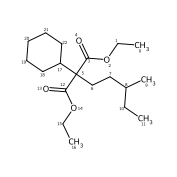 CCOC(=O)C(CCC(C)CC)(C(=O)OCC)C1CCCCC1